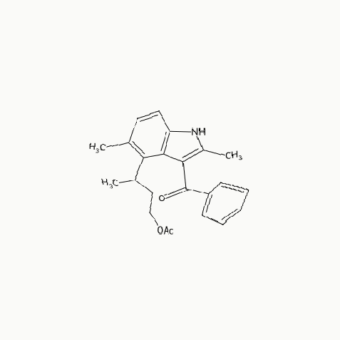 CC(=O)OCCC(C)c1c(C)ccc2[nH]c(C)c(C(=O)c3ccccc3)c12